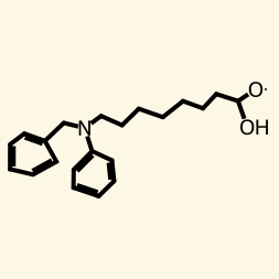 [O]C(O)CCCCCCCN(Cc1ccccc1)c1ccccc1